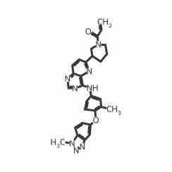 C=CC(=O)N1CCCC(c2ccc3ncnc(Nc4ccc(Oc5ccc6c(c5)nnn6C)c(C)c4)c3n2)C1